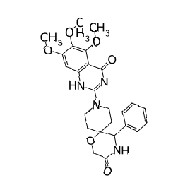 COc1cc2[nH]c(N3CCC4(CC3)OCC(=O)NC4c3ccccc3)nc(=O)c2c(OC)c1OC